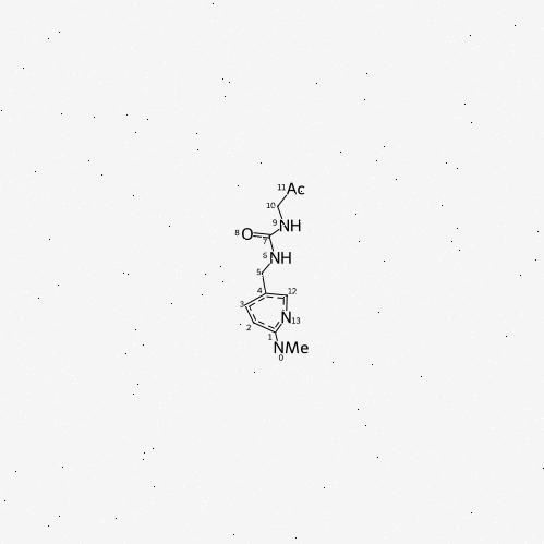 CNc1ccc(CNC(=O)NCC(C)=O)cn1